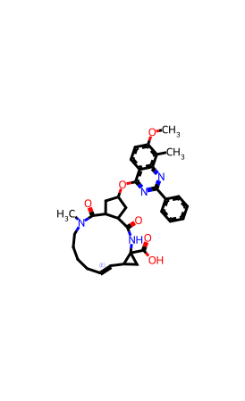 COc1ccc2c(OC3CC4C(=O)NC5(C(=O)O)CC5/C=C/CCCCN(C)C(=O)C4C3)nc(-c3ccccc3)nc2c1C